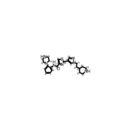 O=C(Nc1ccccc1N1CCNCC1)c1csc(-c2cnn(CCC3CCNCC3)c2)n1